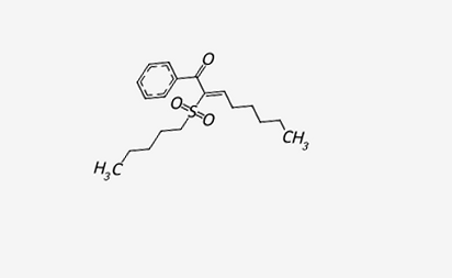 CCCCC/C=C(/C(=O)c1ccccc1)S(=O)(=O)CCCCC